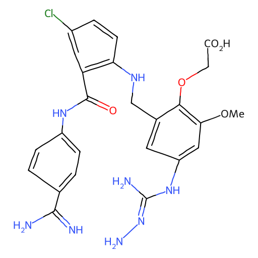 COc1cc(N/C(N)=N/N)cc(CNc2ccc(Cl)cc2C(=O)Nc2ccc(C(=N)N)cc2)c1OCC(=O)O